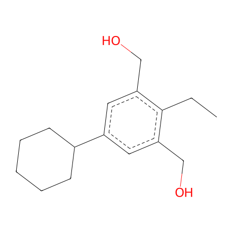 CCc1c(CO)cc(C2CCCCC2)cc1CO